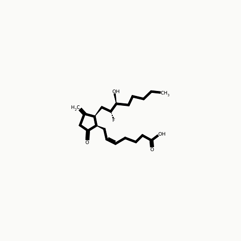 C=C1CC(=O)[C@H](C/C=C\CCCC(=O)O)[C@@H]1C[C@@H](F)[C@@H](O)CCCCC